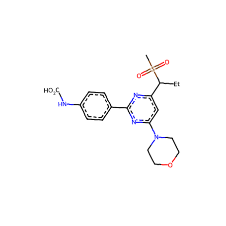 CCC(c1cc(N2CCOCC2)nc(-c2ccc(NC(=O)O)cc2)n1)S(C)(=O)=O